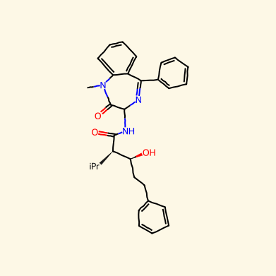 CC(C)[C@@H](C(=O)NC1N=C(c2ccccc2)c2ccccc2N(C)C1=O)[C@@H](O)CCc1ccccc1